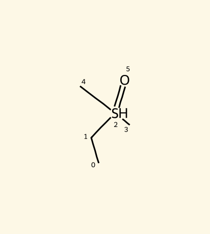 CC[SH](C)(C)=O